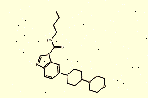 CCCCNC(=O)n1cnc2ccc(N3CCC(N4CCOCC4)CC3)cc21